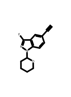 C#Cc1ccc2c(c1)c(F)nn2C1CCCCO1